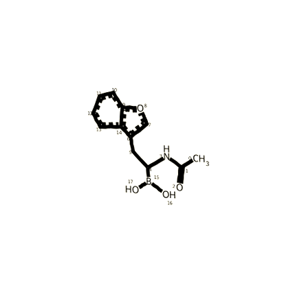 CC(=O)NC(Cc1coc2ccccc12)B(O)O